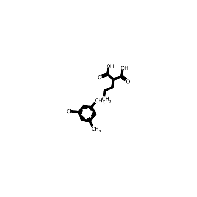 CCCC(C(=O)O)C(=O)O.Cc1cc(C)cc(Cl)c1